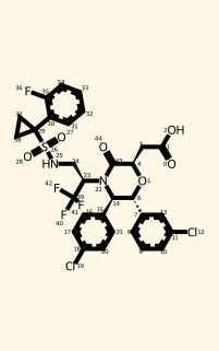 O=C(O)C[C@H]1O[C@H](c2cccc(Cl)c2)[C@@H](c2ccc(Cl)cc2)N([C@H](CNS(=O)(=O)C2(c3ccccc3F)CC2)C(F)(F)F)C1=O